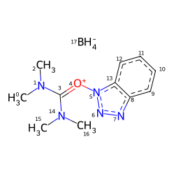 CN(C)C(=[O+]n1nnc2ccccc21)N(C)C.[BH4-]